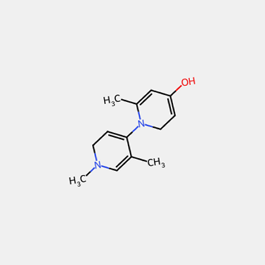 CC1=CN(C)CC=C1N1CC=C(O)C=C1C